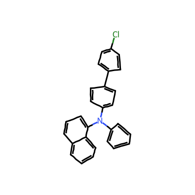 Clc1ccc(-c2ccc(N(c3ccccc3)c3cccc4ccccc34)cc2)cc1